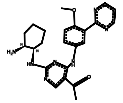 COc1ccc(Nc2nc(N[C@@H]3CCCC[C@@H]3N)ncc2C(C)=O)cc1-c1ncccn1